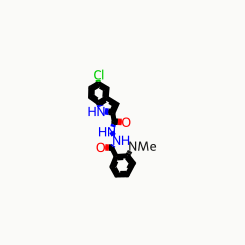 CNc1ccccc1C(=O)NNC(=O)c1cc2cc(Cl)ccc2[nH]1